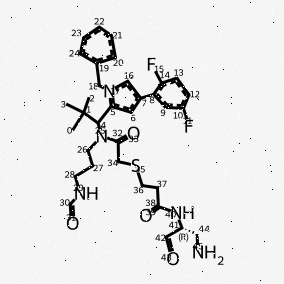 CC(C)(C)C(c1cc(-c2cc(F)ccc2F)cn1Cc1ccccc1)N(CCCNC=O)C(=O)CSCCC(=O)N[C@@H](C=O)CN